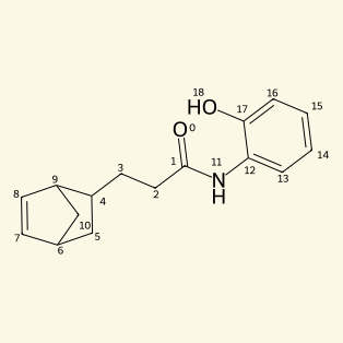 O=C(CCC1CC2C=CC1C2)Nc1ccccc1O